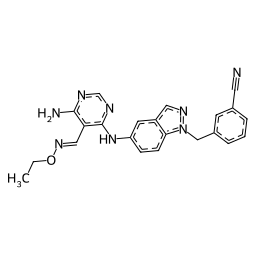 CCON=Cc1c(N)ncnc1Nc1ccc2c(cnn2Cc2cccc(C#N)c2)c1